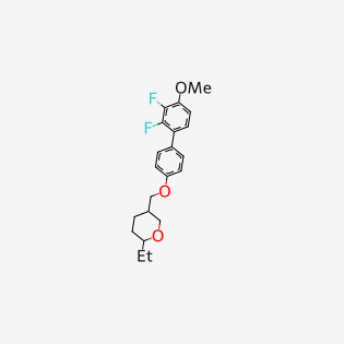 CCC1CCC(COc2ccc(-c3ccc(OC)c(F)c3F)cc2)CO1